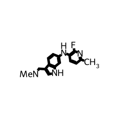 CNCc1c[nH]c2cc(Nc3ccc(C)nc3F)ccc12